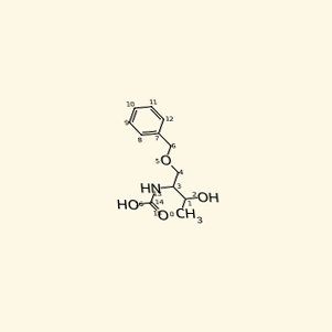 CC(O)C(COCc1ccccc1)NC(=O)O